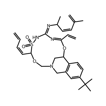 C=C/C=C\C1OCN2Cc3cc(C(C)(C)C)ccc3C(C2)O/C(C=C)=N/C(=N\C(C)/C=C\C(=C)C)NS1(=O)=O